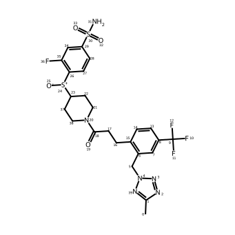 Cc1nnn(Cc2cc(C(F)(F)F)ccc2CCC(=O)N2CCC([S+]([O-])c3ccc(S(N)(=O)=O)cc3F)CC2)n1